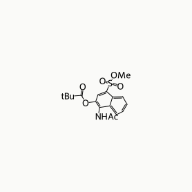 COS(=O)(=O)c1cc(OC(=O)C(C)(C)C)c(NC(C)=O)c2ccccc12